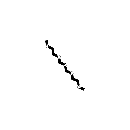 COCCOCSCOCCOC